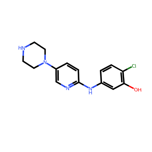 Oc1cc(Nc2ccc(N3CCNCC3)cn2)ccc1Cl